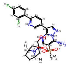 CS(=O)(=O)c1c([C@@H]2C[C@H]3CC[C@@H](C2)N3C(=O)CO)nc2c(-c3ccc(-c4ccc(F)cc4F)nc3)cnn2c1N